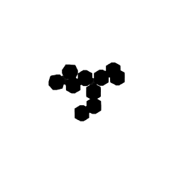 c1ccc(-c2cccc(-c3ccc(N(c4ccc(-c5cccc6ccccc56)cc4)c4cccc(-c5cccc6c5c5ccccc5n6-c5ccccc5)c4)cc3)c2)cc1